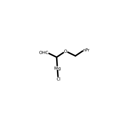 CCCCO[CH](C=O)[Mg][Cl]